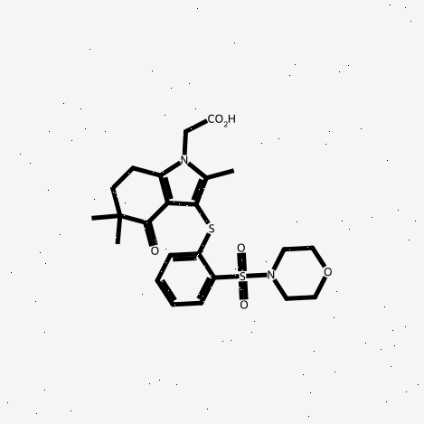 Cc1c(Sc2ccccc2S(=O)(=O)N2CCOCC2)c2c(n1CC(=O)O)CCC(C)(C)C2=O